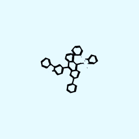 c1ccc(-c2ccc3c(-c4nc5ccccc5n4-c4ccccc4)c4ccccc4c(-c4ccc5sc6ccccc6c5c4)c3c2)cc1